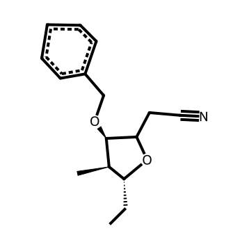 CC[C@H]1OC(CC#N)[C@H](OCc2ccccc2)[C@@H]1C